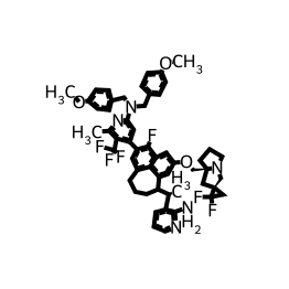 COc1ccc(CN(Cc2ccc(OC)cc2)c2cc(-c3cc4c5c(cc(OC[C@@]67CCCN6C[C@]6(CC6(F)F)C7)cc5c3F)C([C@@H](C)c3cccnc3N)CCC4)c(C(F)(F)F)c(C)n2)cc1